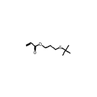 C=CC(=O)OCCCSC(C)(C)C